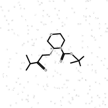 CC(C)C(=O)CC[C@@H]1COCCN1C(=O)OC(C)(C)C